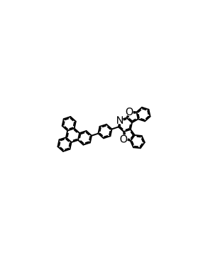 c1ccc2c(c1)oc1nc(-c3ccc(-c4ccc5c6ccccc6c6ccccc6c5c4)cc3)c3oc4ccccc4c3c12